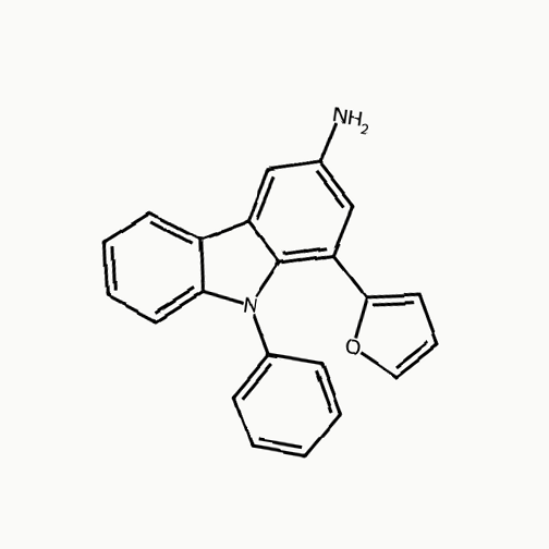 Nc1cc(-c2ccco2)c2c(c1)c1ccccc1n2-c1ccccc1